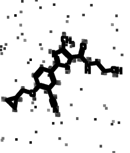 Cc1nc(-c2ccc(OCC3CC3)c(C#N)c2)sc1C(=O)NCCO